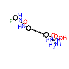 NC[C@H](NC(=O)c1ccc(C#CC#Cc2ccc(NC(=O)CNc3cccc(F)c3)cc2)cc1)C(=O)NO